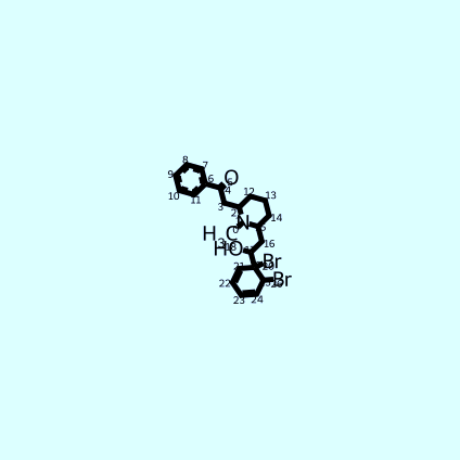 CN1C(CC(=O)c2ccccc2)CCCC1CC(O)C1(Br)C=CC=CC1Br